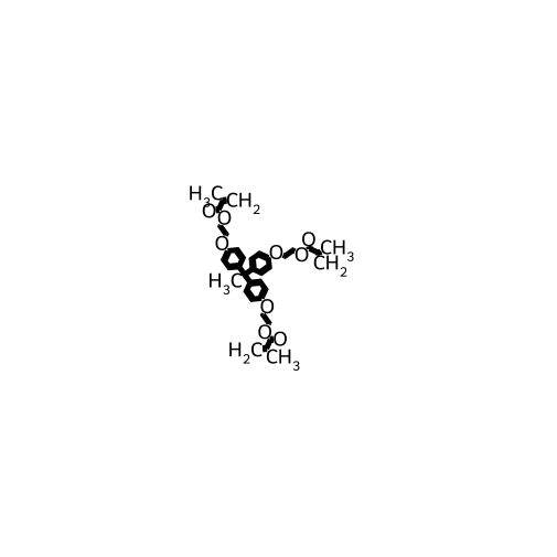 C=C(C)C(=O)OCCOc1ccc(C(C)(c2ccc(OCCOC(=O)C(=C)C)cc2)c2ccc(OCCOC(=O)C(=C)C)cc2)cc1